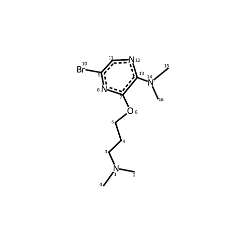 CN(C)CCCOc1nc(Br)cnc1N(C)C